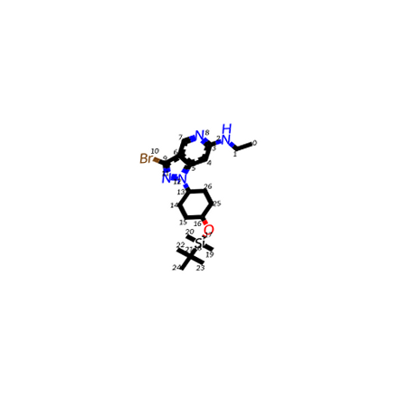 CCNc1cc2c(cn1)c(Br)nn2C1CCC(O[Si](C)(C)C(C)(C)C)CC1